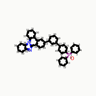 O=P(c1ccccc1)(c1ccccc1)c1ccc(-c2cccc(-c3ccc4c(c3)c3ccccc3n3c5ccccc5nc43)c2)cc1